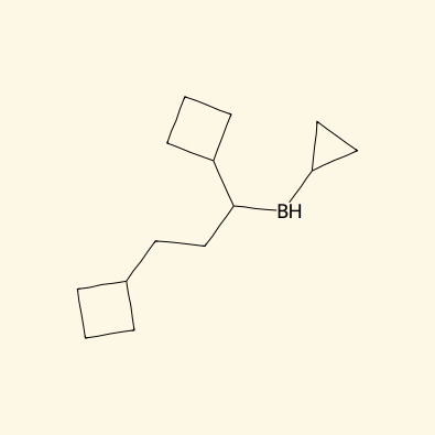 B(C1CC1)C(CCC1CCC1)C1CCC1